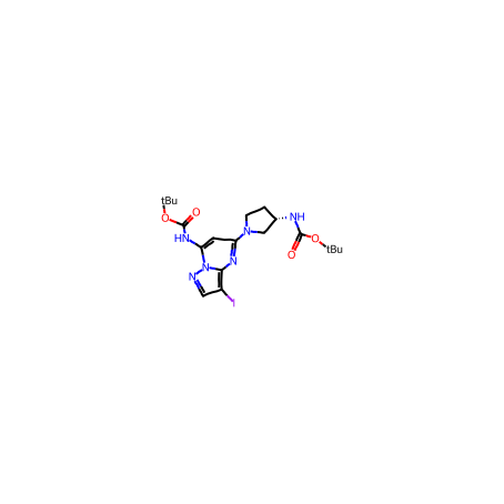 CC(C)(C)OC(=O)Nc1cc(N2CC[C@H](NC(=O)OC(C)(C)C)C2)nc2c(I)cnn12